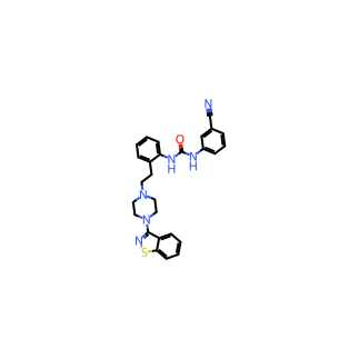 N#Cc1cccc(NC(=O)Nc2ccccc2CCN2CCN(c3nsc4ccccc34)CC2)c1